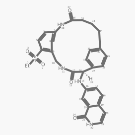 CCS(=O)(=O)c1ccc2cc1CNC(=O)[C@H](Nc1ccc3cc[nH]c(=O)c3c1)c1ccc(cc1)CCCC(=O)N2